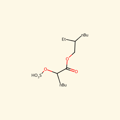 CCCCC(CC)COC(=O)C(CCCC)OS(=O)(=O)O